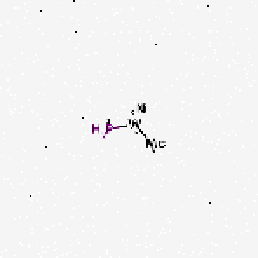 [Ni].[PH2][W][Mo]